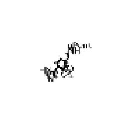 CCCCCNCCc1ccc(-c2cnc[nH]2)c2c1OCO2